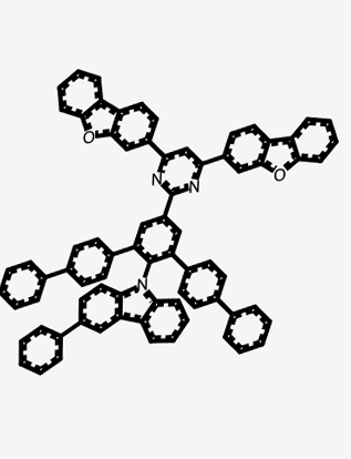 c1ccc(-c2ccc(-c3cc(-c4nc(-c5ccc6c(c5)oc5ccccc56)cc(-c5ccc6c(c5)oc5ccccc56)n4)cc(-c4ccc(-c5ccccc5)cc4)c3-n3c4ccccc4c4cc(-c5ccccc5)ccc43)cc2)cc1